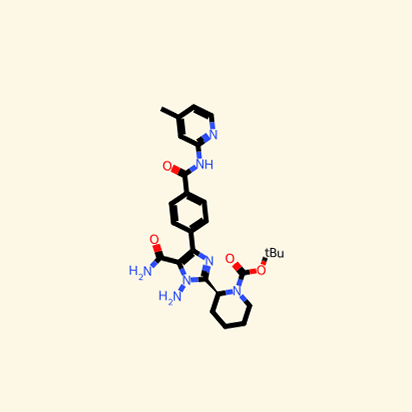 Cc1ccnc(NC(=O)c2ccc(-c3nc([C@@H]4CCCCN4C(=O)OC(C)(C)C)n(N)c3C(N)=O)cc2)c1